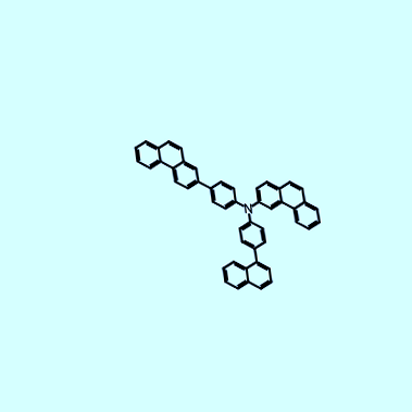 c1ccc2c(-c3ccc(N(c4ccc(-c5ccc6c(ccc7ccccc76)c5)cc4)c4ccc5ccc6ccccc6c5c4)cc3)cccc2c1